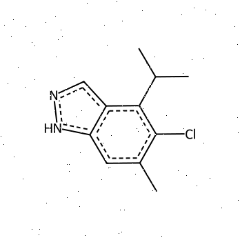 Cc1cc2[nH]ncc2c(C(C)C)c1Cl